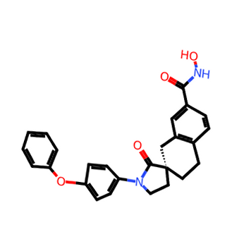 O=C(NO)c1ccc2c(c1)C[C@]1(CC2)CCN(c2ccc(Oc3ccccc3)cc2)C1=O